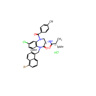 CN[C@@H](C)C(=O)N[C@H]1CN(C(=O)c2ccc(C#N)cc2)c2cc(Cl)ccc2N(Cc2c(OC)ccc3c(Br)cccc23)C1=O.Cl